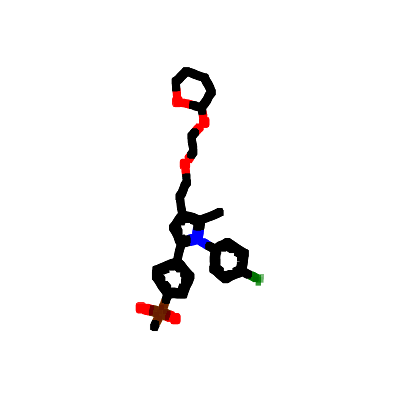 Cc1c(CCOCCOC2CCCCO2)cc(-c2ccc(S(C)(=O)=O)cc2)n1-c1ccc(F)cc1